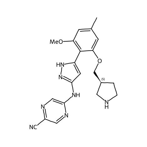 COc1cc(C)cc(OC[C@H]2CCNC2)c1-c1cc(Nc2cnc(C#N)cn2)n[nH]1